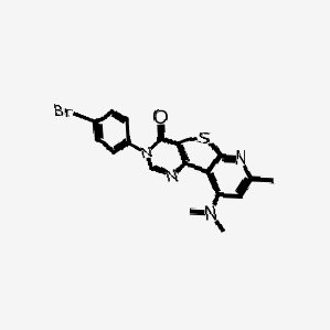 Cc1cc(N(C)C)c2c(n1)sc1c(=O)n(-c3ccc(Br)cc3)cnc12